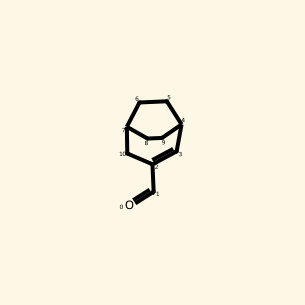 O=[C]C1=CC2CCC(CC2)C1